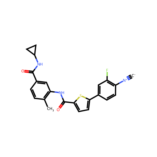 [C-]#[N+]c1ccc(-c2ccc(C(=O)Nc3cc(C(=O)NC4CC4)ccc3C)s2)cc1F